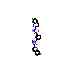 Fc1ccc2ccc(-c3nnc(-c4cccc(-c5nnc(-c6ccc7ccc(F)cc7n6)o5)c4)o3)nc2c1